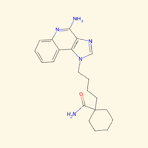 NC(=O)C1(CCCCn2cnc3c(N)nc4ccccc4c32)CCCCC1